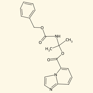 CC(C)(NC(=O)OCc1ccccc1)OC(=O)c1cccc2nccn12